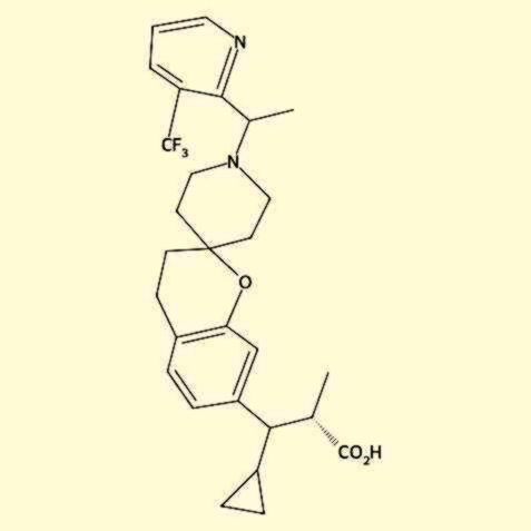 CC(c1ncccc1C(F)(F)F)N1CCC2(CCc3ccc(C(C4CC4)[C@H](C)C(=O)O)cc3O2)CC1